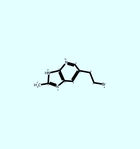 Cc1nc2cc(CCBr)cnc2[nH]1